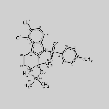 Cc1ccc(S(=O)(=O)n2c3c(c4c(Cl)c(Cl)ccc42)CCCC3(O[Si](C)(C)C)C(F)(F)F)cc1